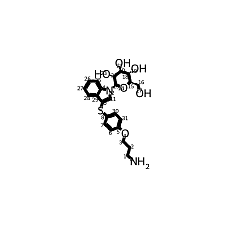 NCCCOc1ccc(Sc2cn([C@@H]3O[C@H](CO)[C@@H](O)[C@H](O)[C@H]3O)c3ccccc23)cc1